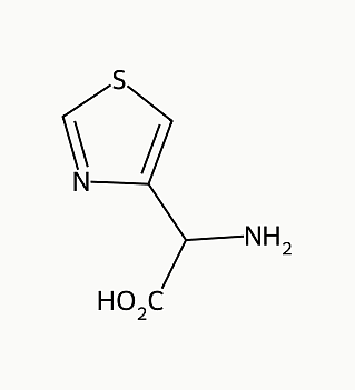 NC(C(=O)O)c1cscn1